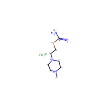 CN1CCN(CCSC(=N)N)CC1.Cl